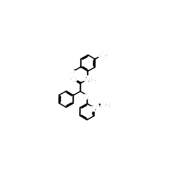 O=C(Nc1cc(C(F)(F)F)ccc1Cl)C(Sc1cccc[n+]1O)c1ccccc1